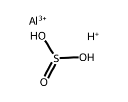 O=S(O)O.[Al+3].[H+]